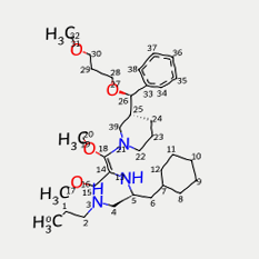 CCCNC[C@H](CC1CCCCC1)N/C(COC)=C(/OC)N1CCC[C@@H]([C@@H](OCCCOC)c2ccccc2)C1